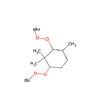 CC1CCC(OOC(C)(C)C)C(C)(C)C1OOC(C)(C)C